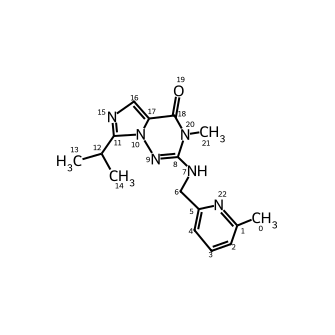 Cc1cccc(CNc2nn3c(C(C)C)ncc3c(=O)n2C)n1